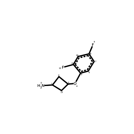 NC1CC(Oc2ccc(F)cc2F)C1